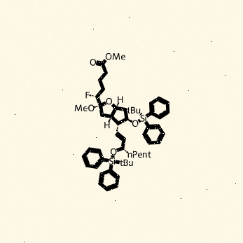 CCCCC[C@@H](/C=C/[C@@H]1[C@H]2C[C@@](OC)([C@H](F)CCCC(=O)OC)O[C@H]2C[C@H]1O[Si](c1ccccc1)(c1ccccc1)C(C)(C)C)O[Si](c1ccccc1)(c1ccccc1)C(C)(C)C